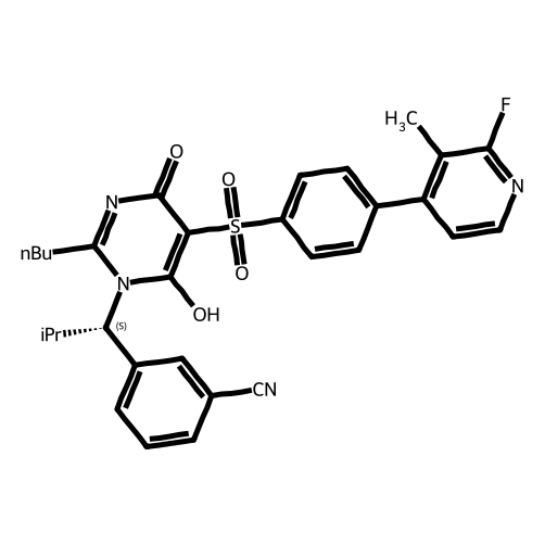 CCCCc1nc(=O)c(S(=O)(=O)c2ccc(-c3ccnc(F)c3C)cc2)c(O)n1[C@H](c1cccc(C#N)c1)C(C)C